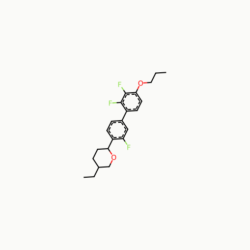 CCCOc1ccc(-c2ccc(C3CCC(CC)CO3)c(F)c2)c(F)c1F